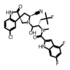 CN(C(=O)c1cc2c(F)cc(F)cc2[nH]1)[C@@H](CC(C)(C)F)C(O)N1C[C@]2(C[C@H]1C#N)C(=O)Nc1ccc(Cl)cc12